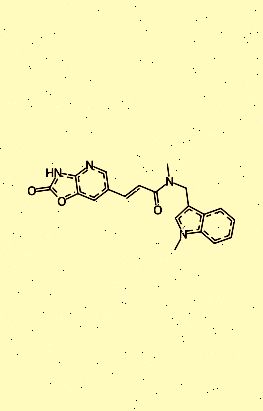 CN(Cc1cn(C)c2ccccc12)C(=O)C=Cc1cnc2[nH]c(=O)oc2c1